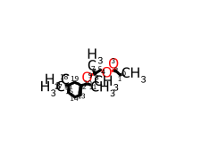 CCC(=O)OCC(C)(C)OC(C)C1=CCCC(C)(C)C1